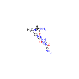 CC(Cc1ccc(-n2ccc(NC(=O)N3CCN(C(=O)[C@H]4C[C@@H](N)C4)CC3)nc2=O)cc1)N1C[C@@H]2[C@@H](CN)[C@@H]2C1